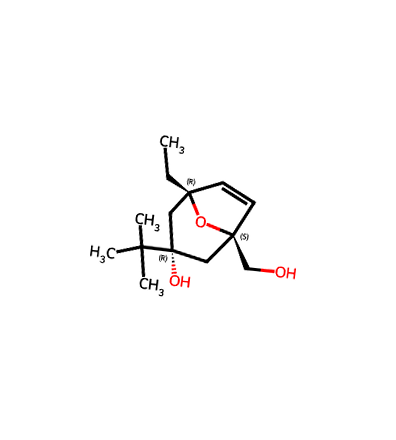 CC[C@]12C=C[C@](CO)(C[C@@](O)(C(C)(C)C)C1)O2